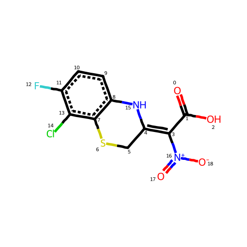 O=C(O)/C(=C1/CSc2c(ccc(F)c2Cl)N1)[N+](=O)[O-]